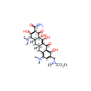 CCOC(=O)N(CC)Cc1cc(N(C)C)c2c(c1O)C(=O)C1=C(O)[C@]3(O)C(=O)C(C(N)=O)=C(O)[C@@H](N(C)C)[C@@H]3C[C@@H]1C2